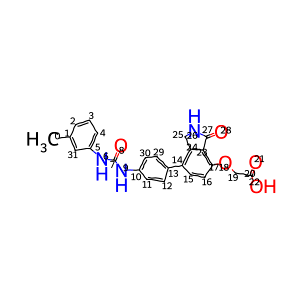 Cc1cccc(NC(=O)Nc2ccc(-c3ccc(OCC(=O)O)c4c3CNC4=O)cc2)c1